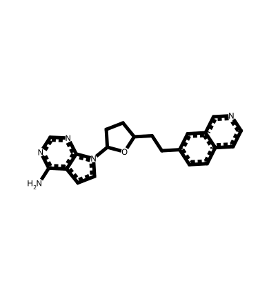 Nc1ncnc2c1ccn2C1CCC(CCc2ccc3ccncc3c2)O1